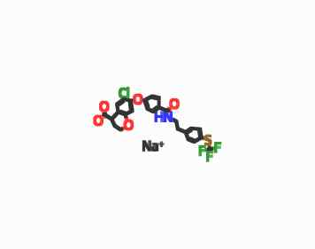 O=C(NCCc1ccc(SC(F)(F)F)cc1)c1ccc(Oc2cc3c(cc2Cl)C(C(=O)[O-])CCO3)cc1.[Na+]